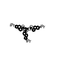 CC(C)C1=CCC2C(=C1)CCC1[C@@H](C(=O)OCC(COC(=O)[C@H]3CCC[C@]4(C)C5CC=C(C(C)C)C=C5CCC34)OC(=O)[C@@]3(C)CCC[C@]4(C)C5CC=C(C(C)C)C=C5CCC43)CCC[C@]21C